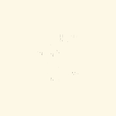 COc1cncc(-c2cnc3sc(NCC(C)C)nn23)c1